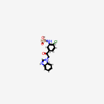 O=C(Cn1cnc2ccccc21)c1ccc(Cl)c(N[SH](=O)=O)c1